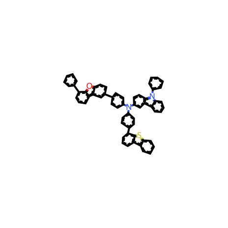 c1ccc(-c2cccc3c2oc2ccc(-c4ccc(N(c5ccc(-c6cccc7c6sc6ccccc67)cc5)c5ccc6c(c5)c5ccccc5n6-c5ccccc5)cc4)cc23)cc1